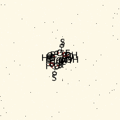 CSc1ccc(C(Cc2ccc(C(F)(F)O[PH](=O)OC(F)(F)c3ccc(CC(Cc4ccc(C(F)(F)P(=O)(O)O)cc4)(C(=O)c4cccc(F)c4)c4ccc(SC)cc4)cc3)cc2)(Cc2ccc(C(F)(F)P(=O)(O)O)cc2)C(=O)c2cccc(F)c2)cc1